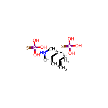 C=CC.CCC.CNC.OP(O)(O)=S.OP(O)(O)=S